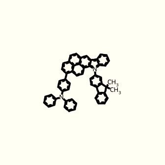 CC1(C)c2ccccc2-c2ccc(-n3c4ccccc4c4cc5ccc6ccc(-c7ccc(N(c8ccccc8)c8ccccc8)cc7)c7ccc(c5c67)c43)cc21